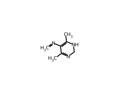 C=NC1=C(C)NCN=C1C